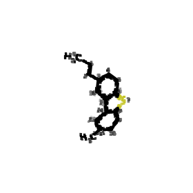 C/C=C/c1ccc2sc3ccc(C)cc3c2c1